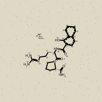 NC(=O)[C@@H]1CCCN1C(=O)[C@H](CCCN=C(N)N)NC(=O)c1ccc2ccccc2c1O.[Cl-].[H+]